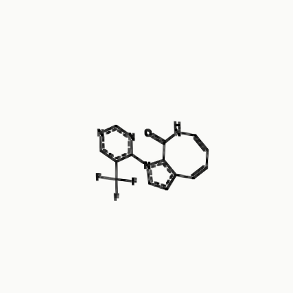 O=C1NC=CC=Cc2ccn(-c3ncncc3C(F)(F)F)c21